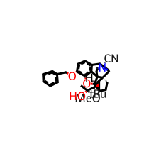 CO[C@]12CC[C@@]3(C[C@@H]1C(C)(O)C(C)(C)C)C1Cc4ccc(OCc5ccccc5)c5c4C3(CCN1C#N)[C@H]2O5